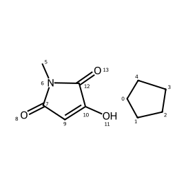 C1CCCC1.CN1C(=O)C=C(O)C1=O